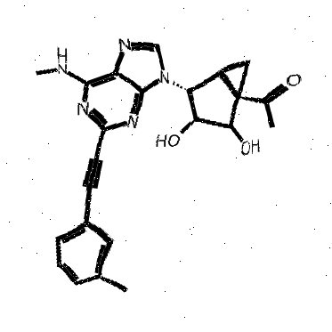 CNc1nc(C#Cc2cccc(C)c2)nc2c1ncn2[C@@H]1C2C[C@]2(C(C)=O)C(O)[C@H]1O